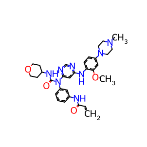 C=CC(=O)Nc1cccc(N(C(=O)NC2CCOCC2)c2cc(Nc3ccc(N4CCN(C)CC4)cc3OC)ncn2)c1